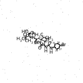 CC(C)C1(CC(=O)NCC(C(=O)O)C(C)(C)C)NC(=O)N(NC(=O)Nc2ccc(Br)cc2)C1=O